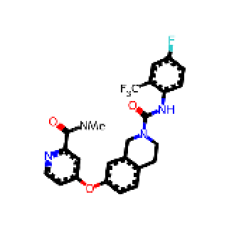 CNC(=O)c1cc(Oc2ccc3c(c2)CN(C(=O)Nc2ccc(F)cc2C(F)(F)F)CC3)ccn1